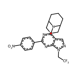 O=[N+]([O-])c1ccc(-c2nc(N3C4CCCC3COC4)c3cnn(CC(F)(F)F)c3n2)cc1